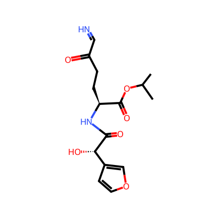 CC(C)OC(=O)[C@H](CCC(=O)C=N)NC(=O)[C@@H](O)c1ccoc1